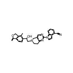 C=C1OCc2c1ccc(C(O)CN1CCc3nc(-n4ccc5c(C#N)cccc54)ncc3C1)c2C